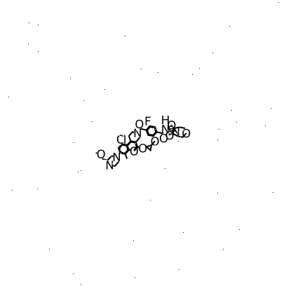 COC[C@H]1CN(c2cc(Cl)c3c4c(c(=O)oc3c2C)CN(C(=O)c2cc(OC3CC3)c(C(=O)NS(=O)(=O)N3C5CCC3COC5)cc2F)CC4)CCN1C